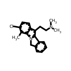 Cc1c(Cl)ccc2c(CCN(C)C)c3n(c12)Cc1ccccc1-3